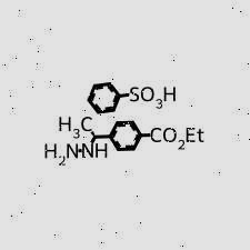 CCOC(=O)c1ccc([C@H](C)NN)cc1.O=S(=O)(O)c1ccccc1